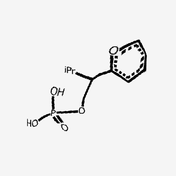 CC(C)C(OP(=O)(O)O)c1ccco1